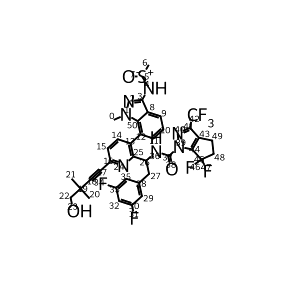 Cn1nc(N[S+](C)[O-])c2cccc(-c3ccc(C#CC(C)(C)CO)nc3C(Cc3cc(F)cc(F)c3)NC(=O)n3nc(C(F)(F)F)c4c3C(F)(F)CC4)c21